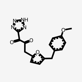 COc1ccc(Cc2ccc(CC(=O)C(=O)c3nn[nH]n3)o2)cc1